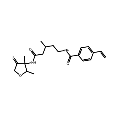 C=Cc1ccc(C(=O)NCCC(C)CC(=O)NC2(C)C(=O)COC2C)cc1